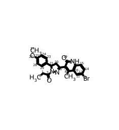 CCC(=O)N1N=C(c2c(C)c3cc(Br)ccc3[nH]c2=O)CC1c1ccc(OC)cc1